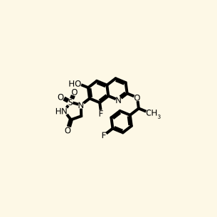 CC(Oc1ccc2cc(O)c(N3CC(=O)NS3(=O)=O)c(F)c2n1)c1ccc(F)cc1